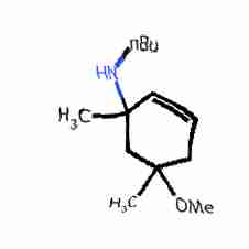 CCCCNC1(C)C=CCC(C)(OC)C1